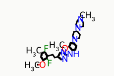 COc1cc(N2CCC(N3CCN(C)CC3)CC2)ccc1Nc1ncc(CCc2c(F)c(C)cc(OC)c2F)cn1